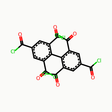 O=C(Cl)c1cc(C(=O)Cl)c(-c2c(C(=O)Cl)cc(C(=O)Cl)cc2C(=O)Cl)c(C(=O)Cl)c1